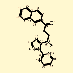 C[C@H](CCC(=O)c1ccc2ccccc2c1)c1ncnn1-c1ncccn1